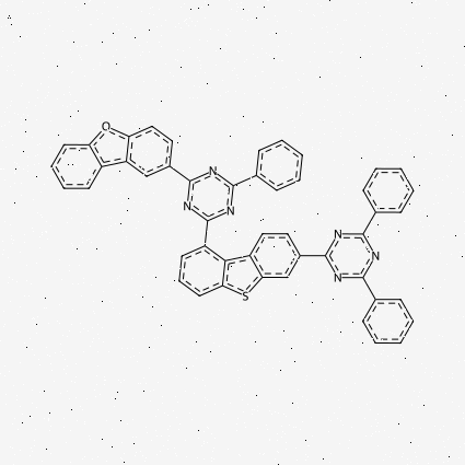 c1ccc(-c2nc(-c3ccccc3)nc(-c3ccc4c(c3)sc3cccc(-c5nc(-c6ccccc6)nc(-c6ccc7oc8ccccc8c7c6)n5)c34)n2)cc1